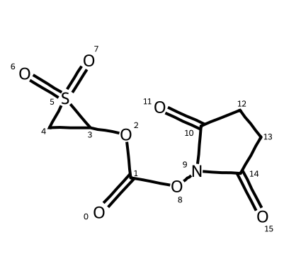 O=C(OC1CS1(=O)=O)ON1C(=O)CCC1=O